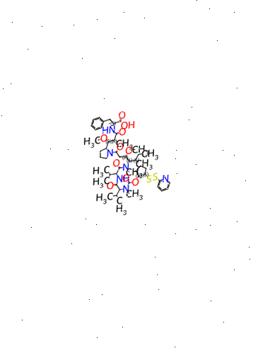 CC[C@H](C)[C@@H]([C@@H](CC(=O)N1CCCC1[C@H](OC)[C@@H](C)C(=O)N[C@@H](Cc1ccccc1)C(=O)O)OC)N(C)C(=O)C(NC(=O)C(C(C)C)N(C)C(=O)O[C@H]1CCC[C@@H]1SSc1ccccn1)C(C)C